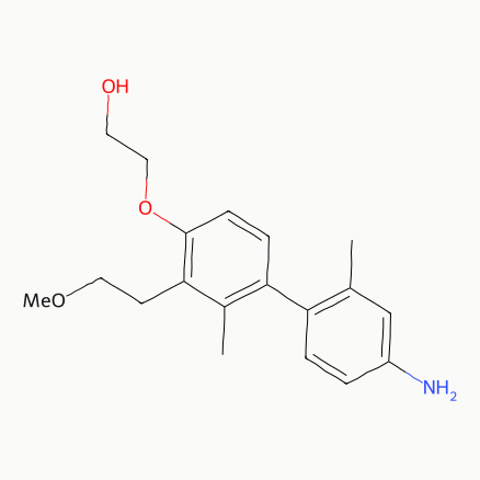 COCCc1c(OCCO)ccc(-c2ccc(N)cc2C)c1C